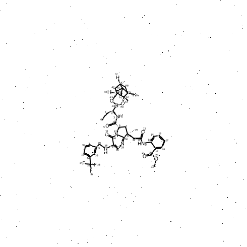 CC[C@H](NC(=O)[C@@H]1C[C@@](C)(CC(=O)Nc2ccccc2C(=O)OC)c2ncc(NCc3cccc(C(F)(F)F)c3)c(=O)n21)B1O[C@@H]2C[C@@H]3C[C@@H](C3(C)C)[C@]2(C)O1